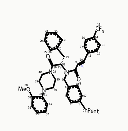 CCCCCc1ccc(CN(C(=O)/C=C/c2ccc(C(F)(F)F)cc2)[C@@H](Cc2ccccc2)C(=O)N2CCN(c3ccccc3OC)CC2)cc1